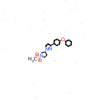 CS(=O)(=O)N1CC[C@@H](n2ccc(-c3ccc(Oc4ccccc4)cc3)n2)C1